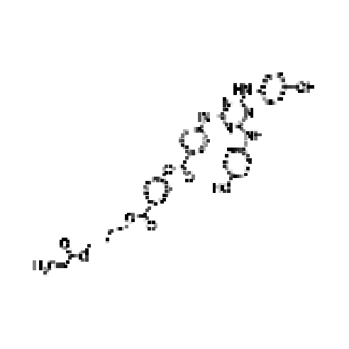 C=CC(=O)OCCCCOC(=O)c1ccc(OC(=O)c2ccc(Nc3nc(Nc4ccc(O)cc4)nc(Nc4ccc(O)cc4)n3)cc2)cc1